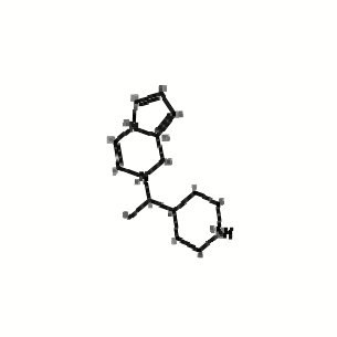 CC(C1CCNCC1)N1C=Cn2cccc2C1